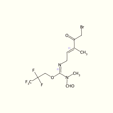 C/C(=C\C/N=C(/OCC(F)(F)C(F)(F)F)N(C)C=O)C(=O)CBr